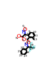 CO/N=C(/C(=O)OC)c1cccc(C)c1CO/N=C(/c1ccccc1)C(F)(F)F